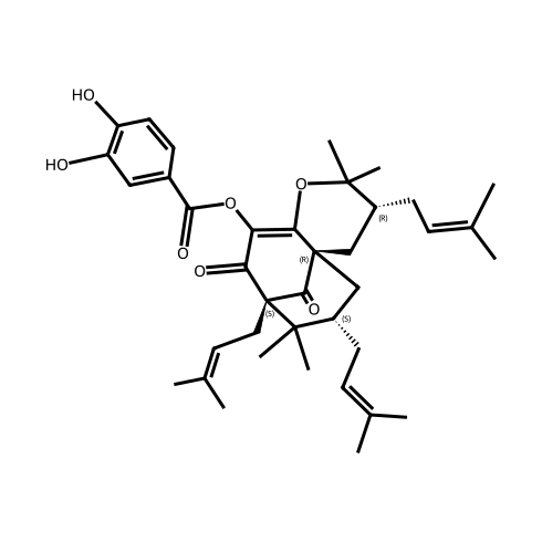 CC(C)=CC[C@@H]1C[C@]23C[C@H](CC=C(C)C)C(C)(C)[C@](CC=C(C)C)(C(=O)C(OC(=O)c4ccc(O)c(O)c4)=C2OC1(C)C)C3=O